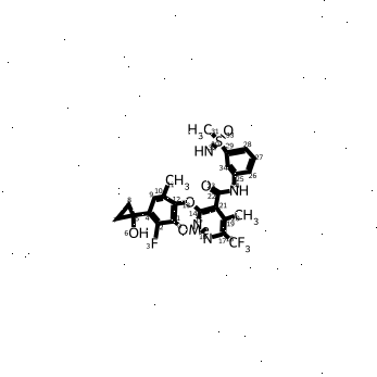 COc1c(F)c(C2(O)CC2)cc(C)c1Oc1nnc(C(F)(F)F)c(C)c1C(=O)Nc1cccc(S(C)(=N)=O)c1